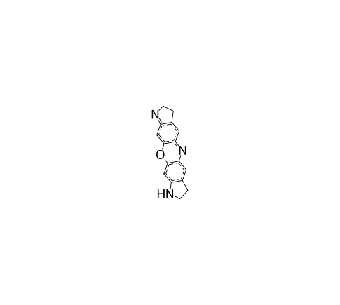 c1c2c(cc3c1N=c1cc4c(cc1O3)=NCC4)NCC2